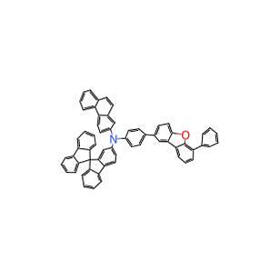 c1ccc(-c2cccc3c2oc2ccc(-c4ccc(N(c5ccc6c(c5)C5(c7ccccc7-c7ccccc75)c5ccccc5-6)c5ccc6c(ccc7ccccc76)c5)cc4)cc23)cc1